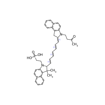 CC(=O)CCN1/C(=C/C=C/C=C/C=C/C2N(CCP(=O)(O)O)c3ccc4ccccc4c3C2(C)C)Cc2c1ccc1ccccc21